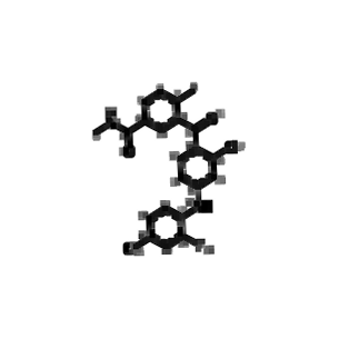 CNC(=O)c1ccc(C)c(C(=O)c2ccc(Nc3ccc(Cl)cc3F)cc2Cl)c1